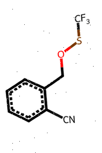 N#Cc1ccccc1COSC(F)(F)F